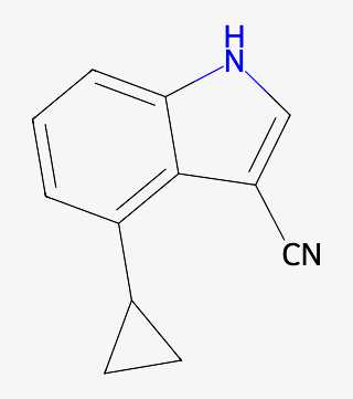 N#Cc1c[nH]c2cccc(C3CC3)c12